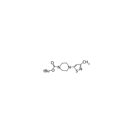 Cc1cc(N2CCN(C(=O)OC(C)(C)C)CC2)sn1